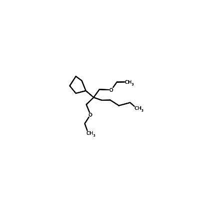 CCCCCC(COCC)(COCC)C1CCCC1